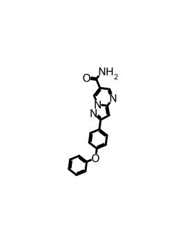 NC(=O)c1cnc2cc(-c3ccc(Oc4ccccc4)cc3)nn2c1